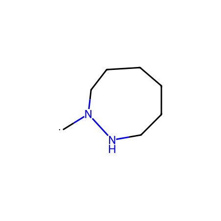 [CH2]N1CCCCCCN1